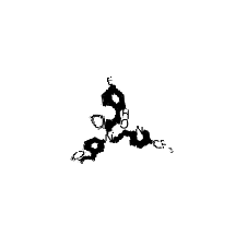 O=C(C(O)c1ccc(F)cc1)N(CCc1ccc(C(F)(F)F)cn1)c1ccc2c(c1)CCO2